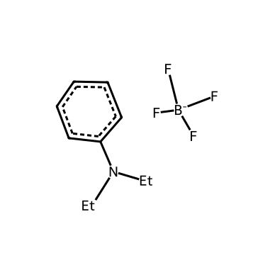 CCN(CC)c1ccccc1.F[B-](F)(F)F